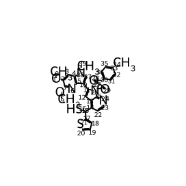 COc1cc2c(nc1OC)c(-c1cc3c(C(S)c4cccs4)ccnc3n1S(=O)(=O)c1ccc(C)cc1)cn2C